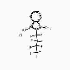 Cn1c(C(F)(F)C(F)(F)C(F)(F)C(F)(F)F)[n+](C)c2ccccc21.[Cl-]